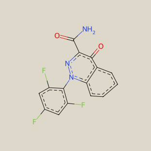 NC(=O)c1nn(-c2c(F)cc(F)cc2F)c2ccccc2c1=O